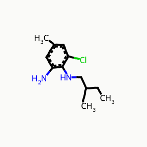 CCC(CC)CNc1c(N)cc(C)cc1Cl